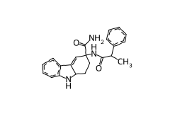 CC(C(=O)NC1(C(N)=O)C=C2c3ccccc3NC2CC1)c1ccccc1